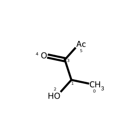 CC(O)[C](=O)[Ac]